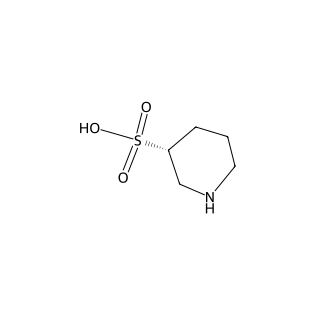 O=S(=O)(O)[C@@H]1CCCNC1